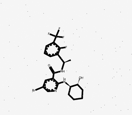 C[C@@H](NC(=O)c1cc(Br)cnc1N[C@@H]1CCCC[C@H]1O)c1cccc(C(F)(F)F)c1F